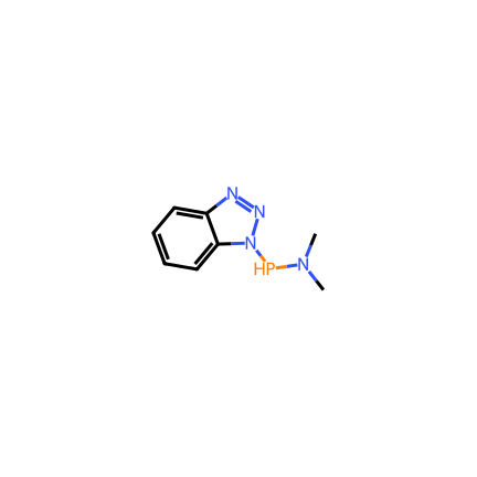 CN(C)Pn1nnc2ccccc21